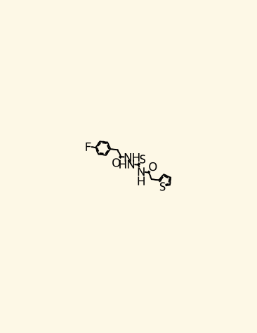 O=C(Cc1ccc(F)cc1)NNC(=S)NC(=O)Cc1cccs1